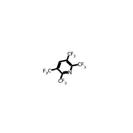 FC(F)(F)c1cc(C(F)(F)F)c(C(F)(F)F)nc1C(F)(F)F